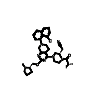 C[C@H](F)C(=O)N1CCN(c2nc(OC[C@@H]3CCCN3C)nc3c2CCN(c2cccc4cccc(Cl)c24)C3)C[C@@H]1CC#N